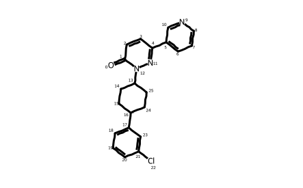 O=c1ccc(-c2cccnc2)nn1C1CC[C](c2cccc(Cl)c2)CC1